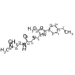 CCc1ccc(-c2nc(CSCC(=O)NCCN(C)C)c(C)o2)cc1